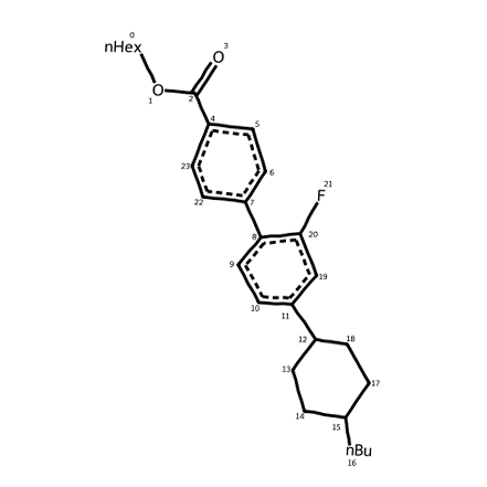 CCCCCCOC(=O)c1ccc(-c2ccc(C3CCC(CCCC)CC3)cc2F)cc1